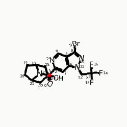 O=C(c1cc2c(cn1)c(Br)nn2CC(F)(F)F)N1C2CCC1CC(O)C2